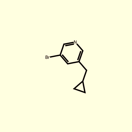 Brc1cncc(CC2CC2)c1